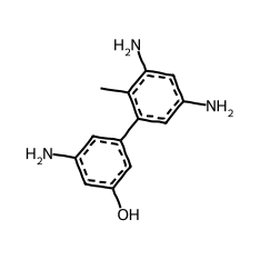 Cc1c(N)cc(N)cc1-c1cc(N)cc(O)c1